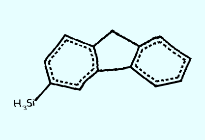 [SiH3]c1ccc2c(c1)-c1ccccc1C2